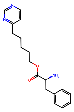 N[C@@H](Cc1ccccc1)C(=O)OCCCCCc1ccncn1